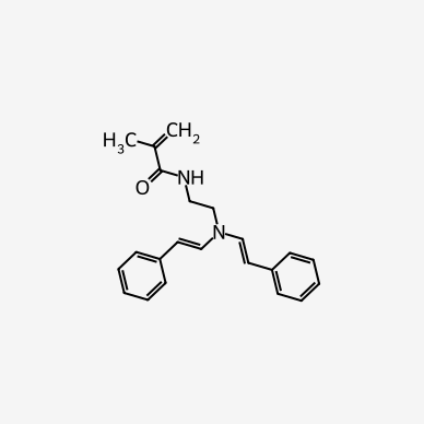 C=C(C)C(=O)NCCN(C=Cc1ccccc1)C=Cc1ccccc1